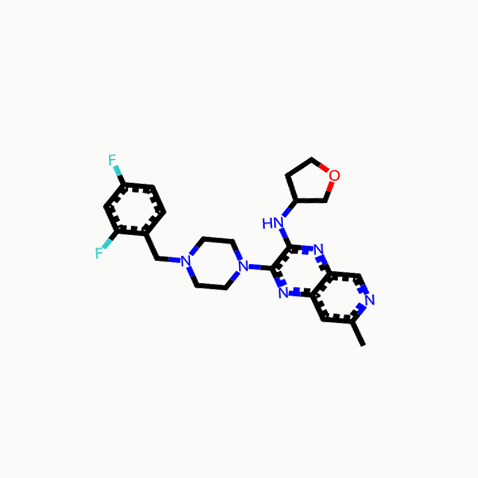 Cc1cc2nc(N3CCN(Cc4ccc(F)cc4F)CC3)c(NC3CCOC3)nc2cn1